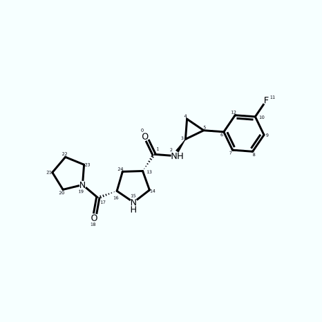 O=C(N[C@H]1CC1c1cccc(F)c1)[C@@H]1CN[C@H](C(=O)N2CCCC2)C1